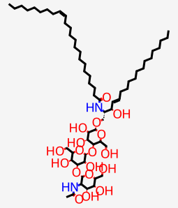 CCCCCCCC/C=C\CCCCCCCCCCCCCC(=O)N[C@@H](CO[C@@H]1OC(CO)[C@@H](O[C@@H]2OC(CO)[C@H](O)[C@H](O[C@@H]3OC(CO)[C@@H](O)[C@H](O)C3NC(C)=O)C2O)[C@H](O)C1O)[C@H](O)/C=C/CCCCCCCCCCCCC